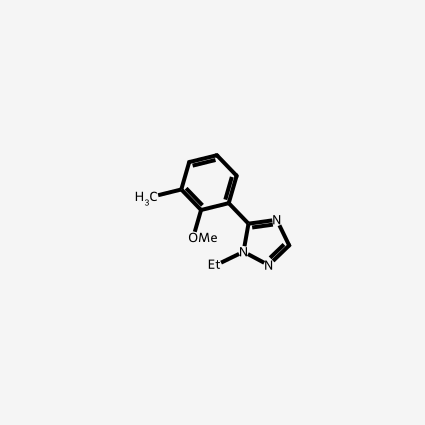 CCn1ncnc1-c1cccc(C)c1OC